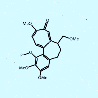 COCC1CCc2cc(OC)c(OC)c(OC(C)C)c2-c2ccc(OC)c(=O)cc21